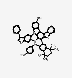 CC(C)(C)c1ccc(N2B3c4cc5occ(-c6ccccc6)c5cc4-n4c5ccc(C(C)(C)C)cc5c5c6c(oc7ccccc76)c(c3c54)-c3cc4c(cc32)C(C)(C)CCC4(C)C)cc1